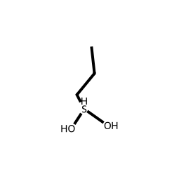 CCC[SH](O)O